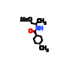 COCC(C)NC(=O)[C@H]1CC[C@H](C)CC1